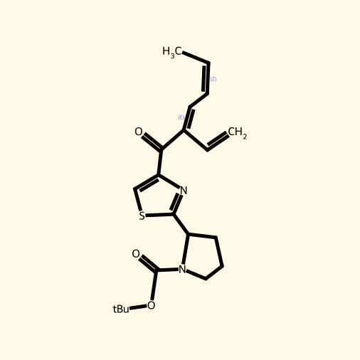 C=C/C(=C\C=C/C)C(=O)c1csc(C2CCCN2C(=O)OC(C)(C)C)n1